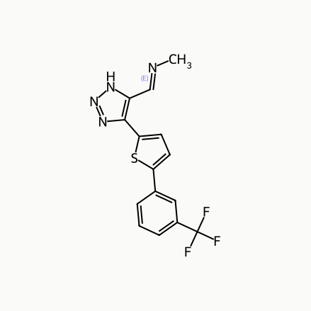 C/N=C/c1[nH]nnc1-c1ccc(-c2cccc(C(F)(F)F)c2)s1